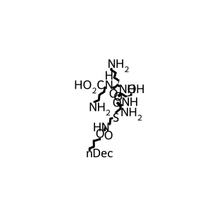 CCCCCCCCCCCCCCOC(=O)NCCSC[C@@H](N)C(=O)N[C@H](CO)C(=O)N[C@@H](CCCCN)C(=O)N[C@@H](CCCCN)C(=O)O